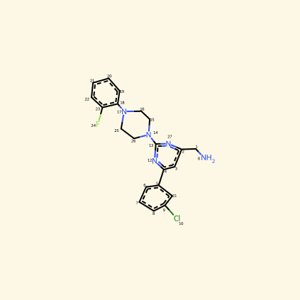 NCc1cc(-c2cccc(Cl)c2)nc(N2CCN(c3ccccc3F)CC2)n1